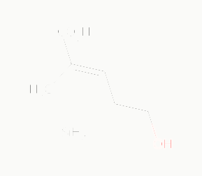 CC(=CCCO)C(=O)O.[SiH4]